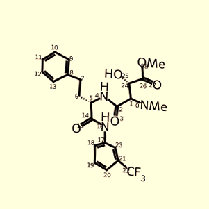 CNC(C(=O)N[C@@H](CCc1ccccc1)C(=O)Nc1cccc(C(F)(F)F)c1)[C@H](O)C(=O)OC